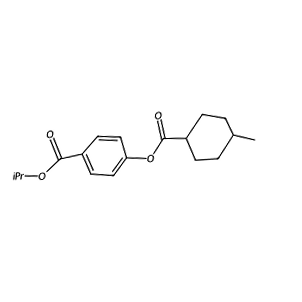 CC1CCC(C(=O)Oc2ccc(C(=O)OC(C)C)cc2)CC1